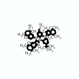 CCc1cc2c3c(c1)N(c1ccc4c(c1)C(C)(C)CCC4(C)C)c1c(sc4cc5c(cc14)C(C)(C)CCC5(C)C)B3c1cc(C(C)(C)C)ccc1N2c1cc2c(cc1C)C(C)(C)CCC2(C)C